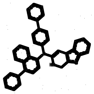 C1=C(N(c2ccc(-c3ccccc3)cc2)c2ccc(-c3ccccc3)c3ccccc23)NCc2oc3ccccc3c21